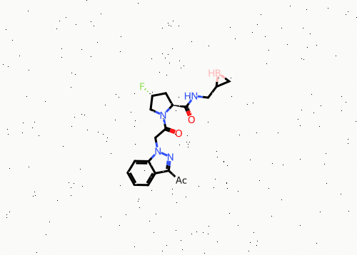 CC(=O)c1nn(CC(=O)N2C[C@H](F)C[C@H]2C(=O)NCC2BC2)c2ccccc12